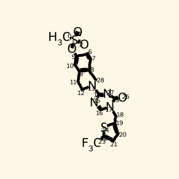 CS(=O)(=O)Oc1ccc2c(c1)CCN(c1ncn(Cc3ccc(C(F)(F)F)s3)c(=O)n1)C2